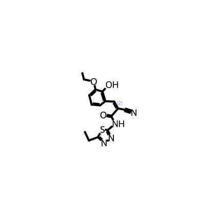 CCOc1cccc(/C=C(/C#N)C(=O)Nc2nnc(CC)s2)c1O